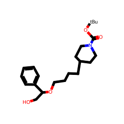 CC(C)(C)OC(=O)N1CCC(CCCCOC(CO)c2ccccc2)CC1